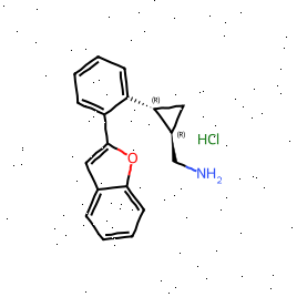 Cl.NC[C@@H]1C[C@H]1c1ccccc1-c1cc2ccccc2o1